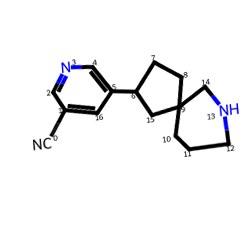 N#Cc1cncc(C2CCC3(CCCNC3)C2)c1